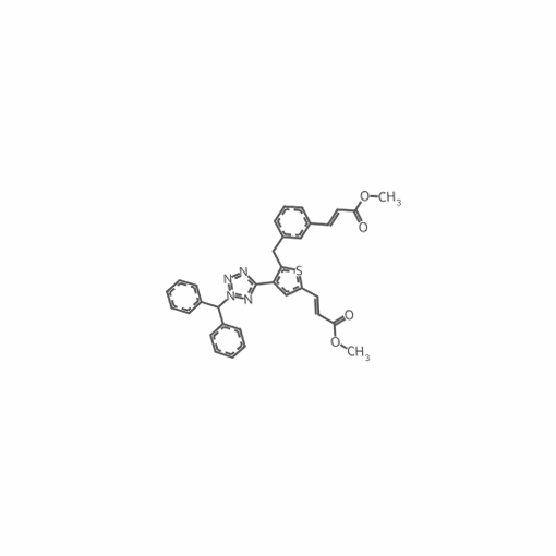 COC(=O)/C=C/c1cccc(Cc2sc(/C=C/C(=O)OC)cc2-c2nnn(C(c3ccccc3)c3ccccc3)n2)c1